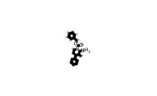 CC1C(c2ccccc2)CCN(C(=O)OCc2ccccc2)C1N